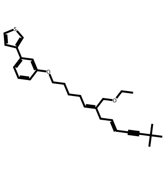 CCOCC(=CCCCCOc1cccc(-c2ccsc2)c1)CC=CC#CC(C)(C)C